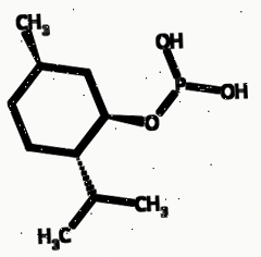 CC(C)[C@@H]1CC[C@@H](C)C[C@H]1OP(O)O